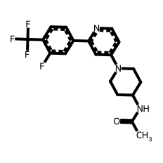 CC(=O)NC1CCN(c2ccnc(-c3ccc(C(F)(F)F)c(F)c3)c2)CC1